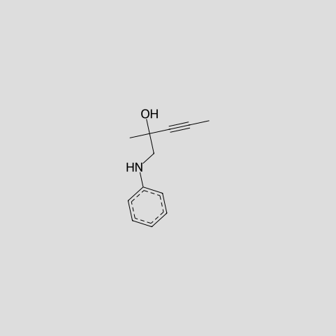 CC#CC(C)(O)CNc1ccccc1